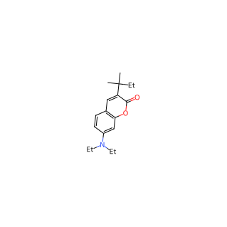 CCN(CC)c1ccc2cc(C(C)(C)CC)c(=O)oc2c1